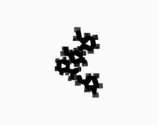 C=C(C)c1ccccc1.C=Cc1ccc(C)cc1.C=Cc1cccc(C)c1.C=Cc1ccccc1C